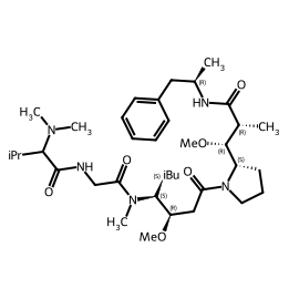 CC[C@H](C)[C@@H]([C@@H](CC(=O)N1CCC[C@H]1[C@H](OC)[C@@H](C)C(=O)N[C@H](C)Cc1ccccc1)OC)N(C)C(=O)CNC(=O)C(C(C)C)N(C)C